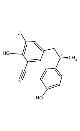 C[C@H](Cc1cc(Cl)c(O)c(C#N)c1)c1ccc(O)cc1